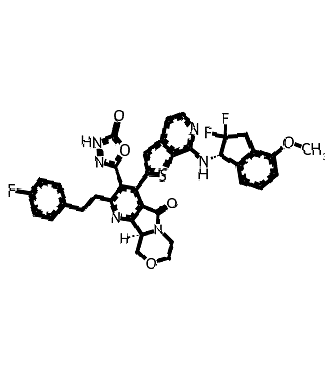 COc1cccc2c1CC(F)(F)[C@H]2Nc1nccc2cc(-c3c4c(nc(CCc5ccc(F)cc5)c3-c3n[nH]c(=O)o3)[C@@H]3COCCN3C4=O)sc12